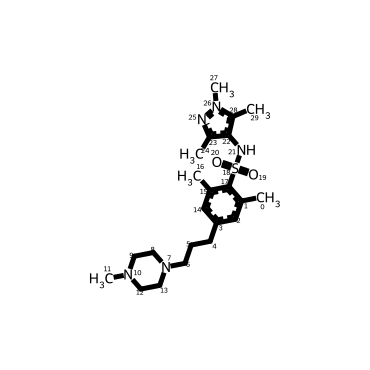 Cc1cc(CCCN2CCN(C)CC2)cc(C)c1S(=O)(=O)Nc1c(C)nn(C)c1C